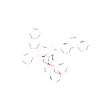 CC1C/C=C(\c2cc3c(cc2-n2c4ccccc4c4cc5ccccc5cc42)oc2ccccc23)NC(c2ccc3c(ccc4ccccc43)c2)/N=C\1c1ccc2ccccc2c1